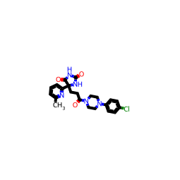 Cc1cccc(C2(CCC(=O)N3CCN(c4ccc(Cl)cc4)CC3)NC(=O)NC2=O)n1